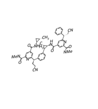 CNC(=O)c1cc(C(=O)N[C@H]2C[C@@H]2C)cc([C@H](CCC#N)c2cccc(C3[C@H](C)[C@H]3NC(=O)c3cc(C(=O)NC)nc([C@@H](CC#N)c4ccccc4)c3)c2)n1